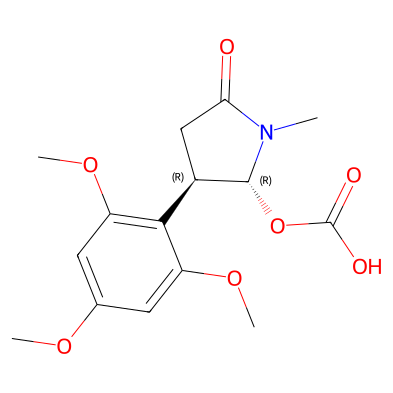 COc1cc(OC)c([C@H]2CC(=O)N(C)[C@@H]2OC(=O)O)c(OC)c1